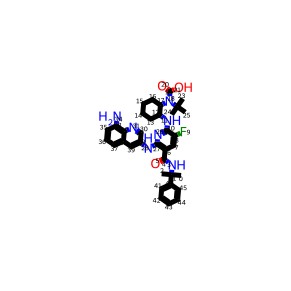 CC(C)(NC(=O)c1cc(F)c(NC2CCCCC2N(C(=O)O)C(C)(C)C)nc1Nc1cnc2c(N)cccc2c1)c1ccccc1